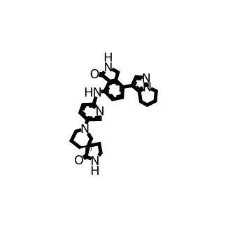 O=C1NCc2c(-c3cnn4c3CCCC4)ccc(Nc3ccc(N4CCC[C@]5(CCNC5=O)C4)cn3)c21